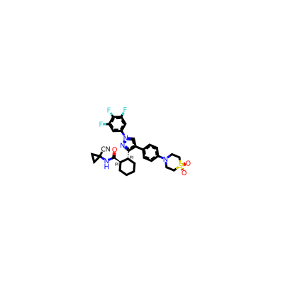 N#CC1(NC(=O)[C@@H]2CCCC[C@H]2c2nn(-c3cc(F)c(F)c(F)c3)cc2-c2ccc(N3CCS(=O)(=O)CC3)cc2)CC1